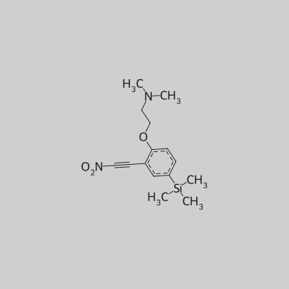 CN(C)CCOc1ccc([Si](C)(C)C)cc1C#C[N+](=O)[O-]